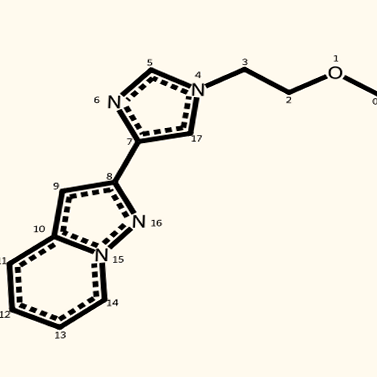 COCCn1cnc(-c2cc3ccccn3n2)c1